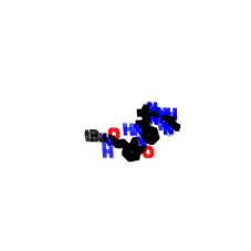 Cc1cnc(Nc2cc(C)n(C)n2)nc1-c1c[nH]c2c(N3Cc4c(/C=C/C(=O)NC(C)(C)C)cccc4C3=O)cccc12